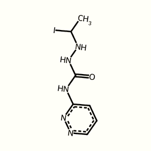 CC(I)NNC(=O)Nc1cccnn1